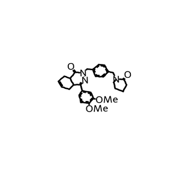 COc1ccc(C2=NN(Cc3ccc(CN4CCCCC4=O)cc3)C(=O)C3CC=CCC23)cc1OC